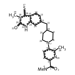 CNC(=O)c1ccc(N2CCC(Cc3ccc4c(=S)n(C)c(=O)[nH]c4c3)CC2)c(C)n1